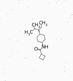 CCC(C(C)C)[C@H]1CC[C@@H](NC(=O)C2CCC2)CC1